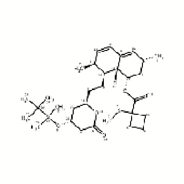 CSC1(C(=O)O[C@H]2C[C@@H](C)C=C3C=C[C@H](C)[C@H](CC[C@@H]4C[C@@H](O[Si](C)(C)C(C)(C)C)CC(=O)O4)[C@H]32)CCC1